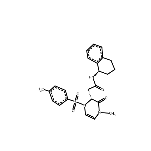 Cc1ccc(S(=O)(=O)N2C=CN(C)C(=O)[C@H]2CC(=O)N[C@@H]2CCCc3ccccc32)cc1